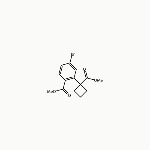 COC(=O)c1ccc(Br)cc1C1(C(=O)OC)CCC1